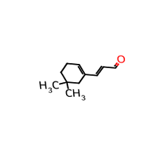 CC1(C)CCC=C(/C=C/C=O)C1